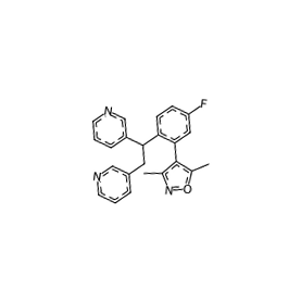 Cc1noc(C)c1-c1cc(F)ccc1C(Cc1cccnc1)c1cccnc1